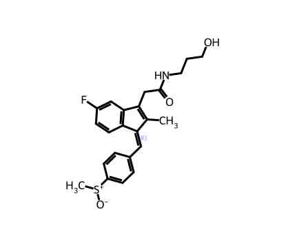 CC1=C(CC(=O)NCCCO)c2cc(F)ccc2/C1=C\c1ccc([S+](C)[O-])cc1